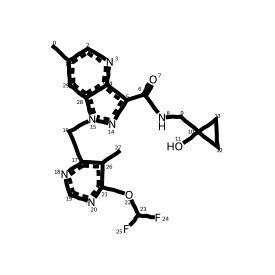 Cc1cnc2c(C(=O)NCC3(O)CC3)nn(Cc3ncnc(OC(F)F)c3C)c2c1